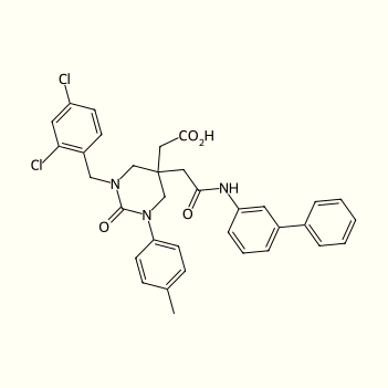 Cc1ccc(N2CC(CC(=O)O)(CC(=O)Nc3cccc(-c4ccccc4)c3)CN(Cc3ccc(Cl)cc3Cl)C2=O)cc1